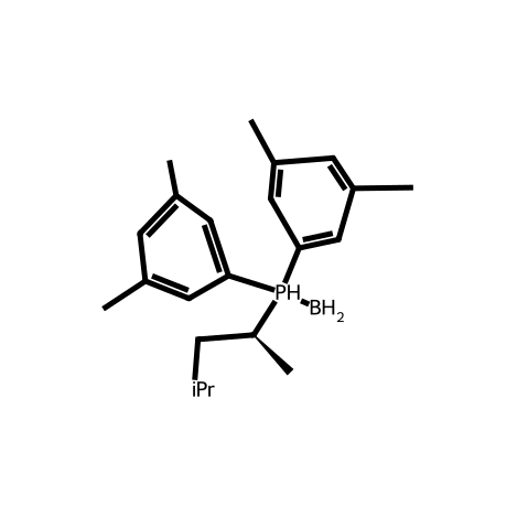 B[PH](c1cc(C)cc(C)c1)(c1cc(C)cc(C)c1)[C@@H](C)CC(C)C